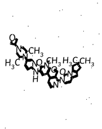 C[C@H]1CN(C2COC2)C[C@H](C)N1c1ccc(Nc2cc(-c3ccnc(-n4ccc5cc6c(n5c4=O)CC(C)(C)C6)c3C=O)cn(C)c2=O)nc1